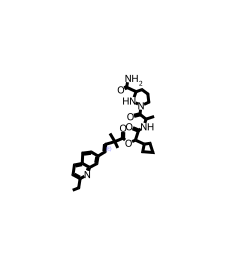 CCc1ccc2ccc(/C=C/C(C)(C)C(=O)OC(C(=O)NC(C)C(=O)N3CCCC(C(N)=O)N3)C3CCC3)cc2n1